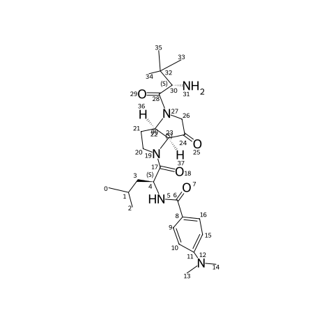 CC(C)C[C@H](NC(=O)c1ccc(N(C)C)cc1)C(=O)N1CC[C@@H]2[C@H]1C(=O)CN2C(=O)[C@@H](N)C(C)(C)C